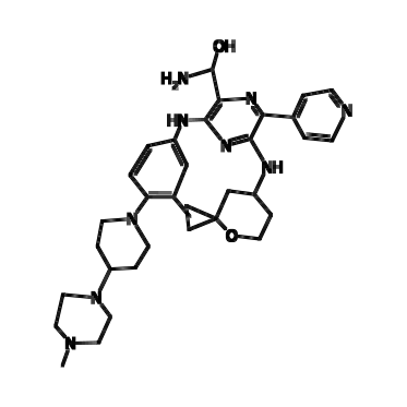 Cc1cc(Nc2nc(NC3CCOC4(CC4)C3)c(-c3ccncc3)nc2C(N)O)ccc1N1CCC(N2CCN(C)CC2)CC1